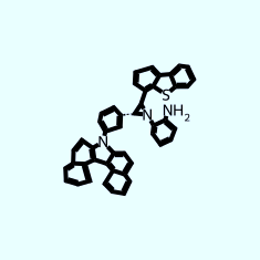 Nc1ccccc1N1C(c2cccc3c2sc2ccccc23)[C@H]1c1cccc(-n2c3ccc4ccccc4c3c3c4ccccc4ccc32)c1